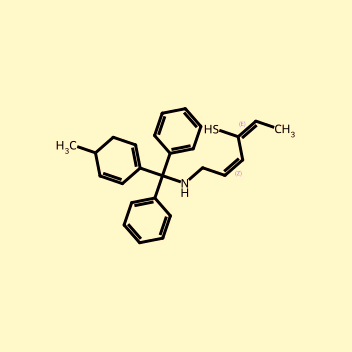 C/C=C(S)\C=C/CNC(C1=CCC(C)C=C1)(c1ccccc1)c1ccccc1